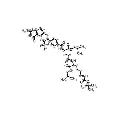 CC(C)COC(=O)[C@H](CCCCNC(=O)OC(C)(C)C)NC(=O)CC[C@H](NC(=O)c1ccc(N(Cc2cnc3nc(N)[nH]c(=O)c3n2)C(=O)C(F)(F)F)cc1)C(=O)OCC(C)C